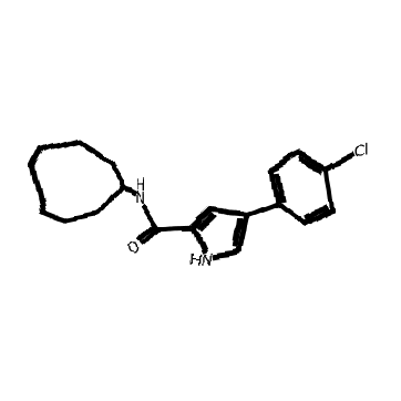 O=C(NC1CCCCCCC1)c1cc(-c2ccc(Cl)cc2)c[nH]1